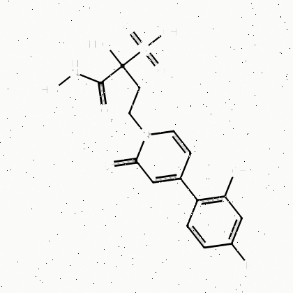 Cc1cc(F)ccc1-c1ccn(CCC(C)(C(=O)NO)S(C)(=O)=O)c(=O)c1